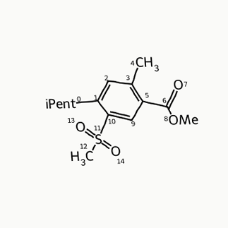 CCCC(C)c1cc(C)c(C(=O)OC)cc1S(C)(=O)=O